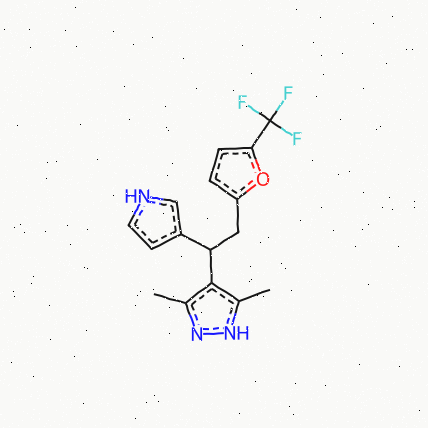 Cc1n[nH]c(C)c1C(Cc1ccc(C(F)(F)F)o1)c1cc[nH]c1